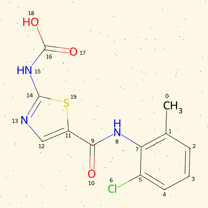 Cc1cccc(Cl)c1NC(=O)c1cnc(NC(=O)O)s1